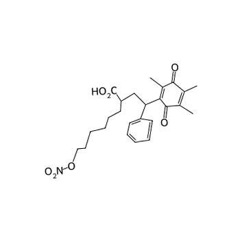 CC1=C(C)C(=O)C(C(CC(CCCCCCO[N+](=O)[O-])C(=O)O)c2ccccc2)=C(C)C1=O